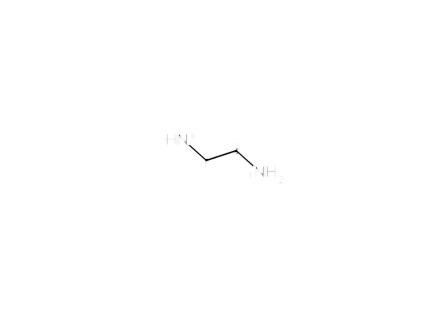 [NH]C[CH]N